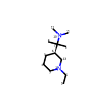 CCN1CCC[C@@H](C(C)(C)N(C)C)C1